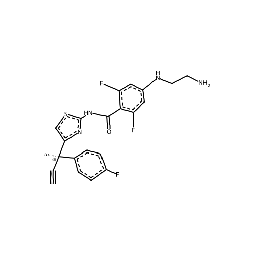 C#C[C@](C)(c1ccc(F)cc1)c1csc(NC(=O)c2c(F)cc(NCCN)cc2F)n1